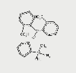 C[N+](C)(C)c1ccccc1.O=C(O)c1ccccc1[S+]([O-])c1ccccc1C(=O)O